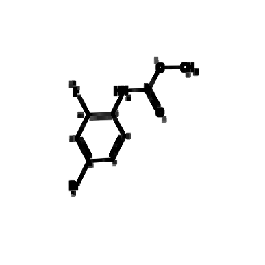 COC(=O)Nc1ccc(Br)cc1F